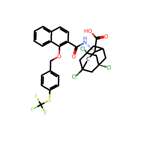 O=C(N[C@@]1(C(=O)O)CC2(Cl)C[C@]3(Cl)CC1C[C@](Cl)(C2)C3)c1ccc2ccccc2c1OCc1ccc(SC(F)(F)F)cc1